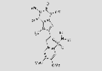 CCCn1c(=O)c2c(nc(/C=C/c3cc(OC)c(OC)cc3S(=O)(=O)N(CC)CC)n2C)n(CCC)c1=O